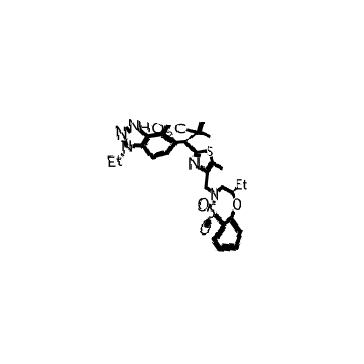 CC[C@@H]1CN(Cc2nc([C@@H](c3ccc4c(nnn4CC)c3C)C(C)(C)C(=O)O)sc2C)S(=O)(=O)c2ccccc2O1